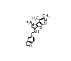 Cc1nnc2sc3c(NCc4ccc5c(c4)CCO5)nn(C)c3c2c1C